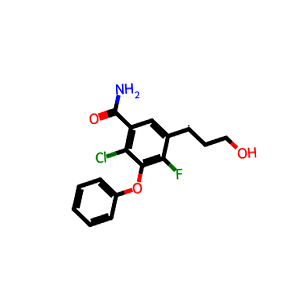 NC(=O)c1cc([CH]CCO)c(F)c(Oc2ccccc2)c1Cl